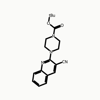 CC(C)(C)OC(=O)N1CCN(c2nc3ccccc3cc2C#N)CC1